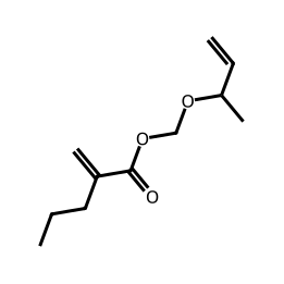 C=CC(C)OCOC(=O)C(=C)CCC